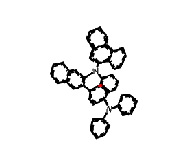 c1ccc(N(c2ccccc2)c2ccc(-c3cc4ccccc4cc3N(c3ccccc3)c3cc4ccccc4c4ccccc34)cc2)cc1